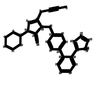 CC#CCc1nn(C2CCCCC2)c(=O)n1Cc1ccc(-c2ccccc2-c2nnn[nH]2)cc1